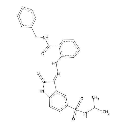 CC(C)NS(=O)(=O)c1ccc2c(c1)/C(=N/Nc1ccccc1C(=O)NCc1ccccc1)C(=O)N2